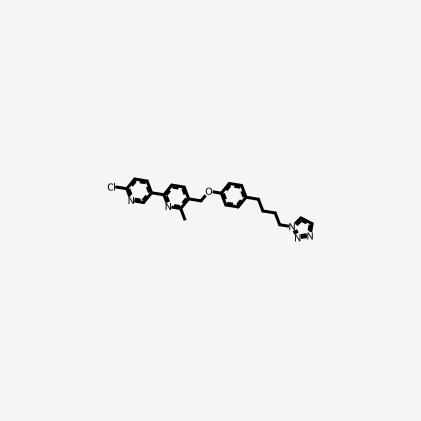 Cc1nc(-c2ccc(Cl)nc2)ccc1COc1ccc(CCCCn2ccnn2)cc1